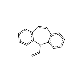 C=CN1c2ccccc2C=Cc2ccccc21